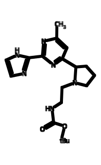 Cc1cc(C2CCCN2CCNC(=O)OC(C)(C)C)nc(-c2ncc[nH]2)n1